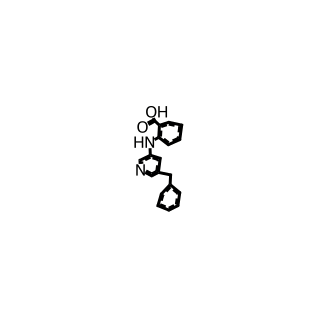 O=C(O)c1ccccc1Nc1cncc(Cc2ccccc2)c1